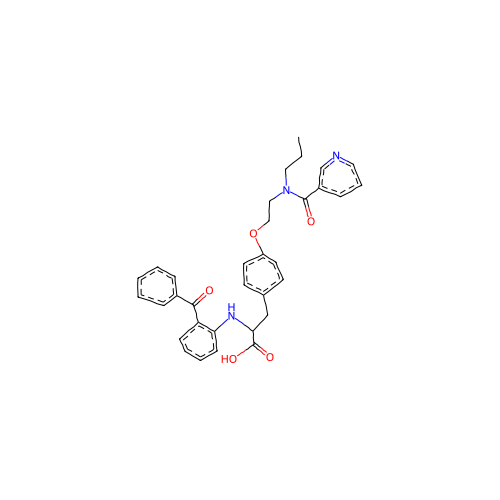 CCCN(CCOc1ccc(CC(Nc2ccccc2C(=O)c2ccccc2)C(=O)O)cc1)C(=O)c1cccnc1